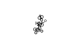 O=C(Nc1nc(C(COC(=O)c2ccccc2)OC(=O)c2ccccc2)cs1)C(=CC1CCCC1)c1ccc(S(=O)(=O)C2CC2)cc1